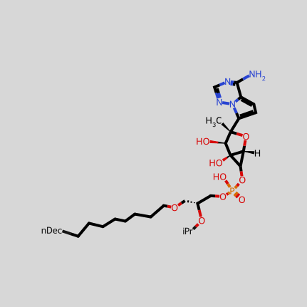 CCCCCCCCCCCCCCCCCCOC[C@H](COP(=O)(O)OC1[C@H]2O[C@@](C)(c3ccc4c(N)ncnn34)[C@H](O)[C@@]12O)OC(C)C